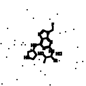 CC[C@H](Nc1nc(N[C@H]2CCNC2)c2ncn(CF)c2n1)[C@@H](C)O.Cl